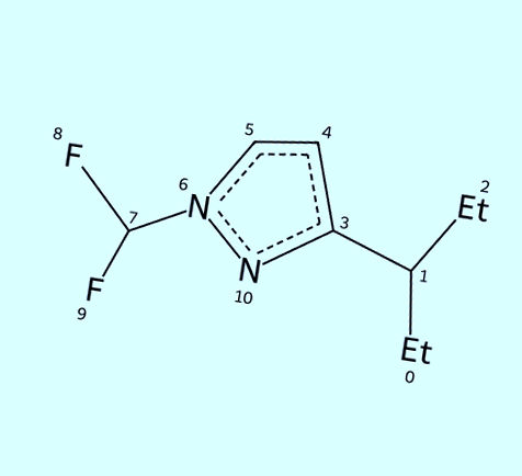 CCC(CC)c1ccn(C(F)F)n1